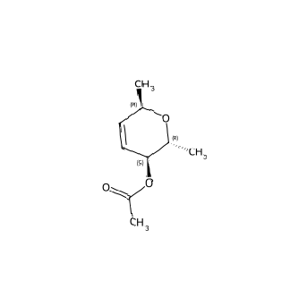 CC(=O)O[C@H]1C=C[C@@H](C)O[C@@H]1C